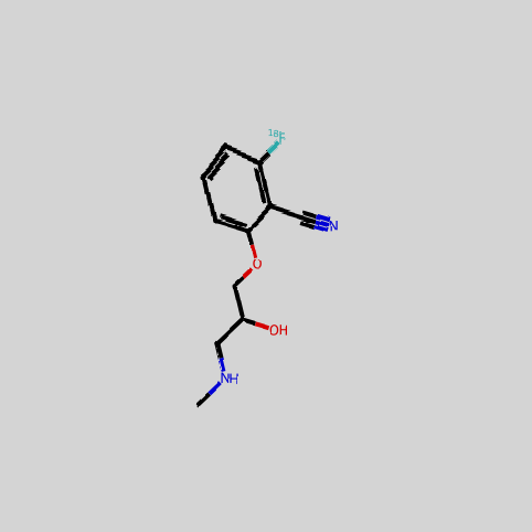 CNCC(O)COc1cccc([18F])c1C#N